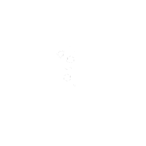 COCCCN1CCc2ccc(C(=O)Nc3cccc(-c4nncn4C(C)C)n3)cc2C1